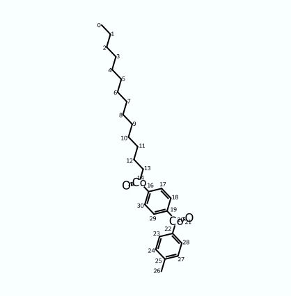 CCCCCCCCCCCCC[CH2][Co](=[O])[c]1cc[c]([Co](=[O])[c]2ccc(C)cc2)cc1